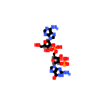 Nc1nc2c(ncn2[C@@H]2O[C@H](COP(=O)(O)O[C@@H]3[C@H](O)[C@@H](CO)O[C@H]3n3cnc4c(N)ncnc43)[C@@H](O)[C@H]2O[PH](=O)O)c(=O)[nH]1